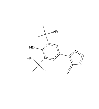 CCCC(C)(C)c1cc(-c2cssc2=S)cc(C(C)(C)CCC)c1O